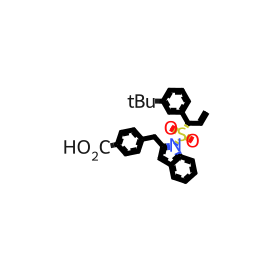 C=CC(c1cccc(C(C)(C)C)c1)S(=O)(=O)n1c(Cc2ccc(C(=O)O)cc2)cc2ccccc21